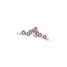 CC(C)(C)OC(=O)N(C(O)C(N)(CO)c1ccc2cc(Oc3cccc(C(F)(F)F)c3)ccc2c1)C1(c2ccc3cc(Oc4cccc(C(F)(F)F)c4)ccc3c2)COC(C)(C)OC1